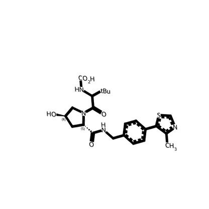 Cc1ncsc1-c1ccc(CNC(=O)[C@@H]2C[C@@H](O)CN2C(=O)C(NC(=O)O)C(C)(C)C)cc1